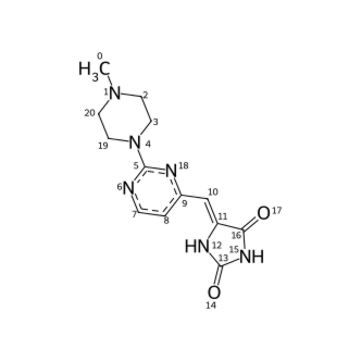 CN1CCN(c2nccc(/C=C3\NC(=O)NC3=O)n2)CC1